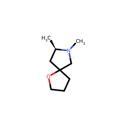 C[C@@H]1CC2(CCCO2)CN1C